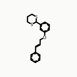 C(=C\c1ccccc1)/COc1cccc(C2SCCCS2)c1